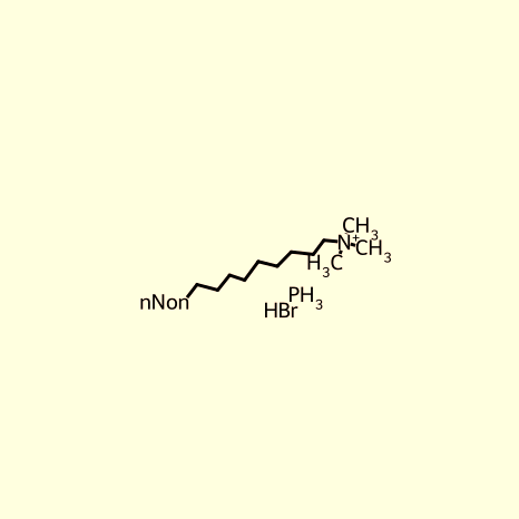 Br.CCCCCCCCCCCCCCCCCC[N+](C)(C)C.P